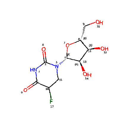 O=C1NC(=O)N([C@@H]2O[C@H](CO)[C@@H](O)[C@H]2O)CC1F